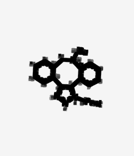 CCCC(C)n1nnc2c1-c1ccccc1N(C(C)CC)Cc1ccccc1-2